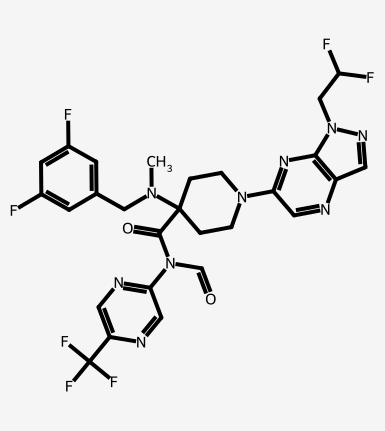 CN(Cc1cc(F)cc(F)c1)C1(C(=O)N(C=O)c2cnc(C(F)(F)F)cn2)CCN(c2cnc3cnn(CC(F)F)c3n2)CC1